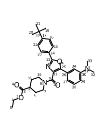 CCOC(=O)C1CCN(C(=O)c2nc(-c3ccc(C(C)(C)C)cc3)oc2-c2cccc(N(C)C)c2)CC1